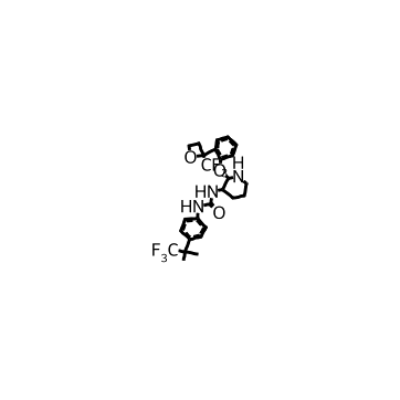 CC(C)(c1ccc(NC(=O)NC2CCCNC2Oc2ccccc2C2(C(F)(F)F)CCO2)cc1)C(F)(F)F